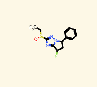 [O-][S@@+](CC(F)(F)F)c1nc2n(n1)C(c1ccccc1)CC2F